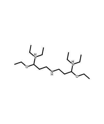 CCOC(CCNCCC(OCC)[SiH](CC)CC)[SiH](CC)CC